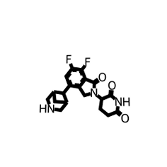 O=C1CCC(N2Cc3c(C4C5CNCC4C5)cc(F)c(F)c3C2=O)C(=O)N1